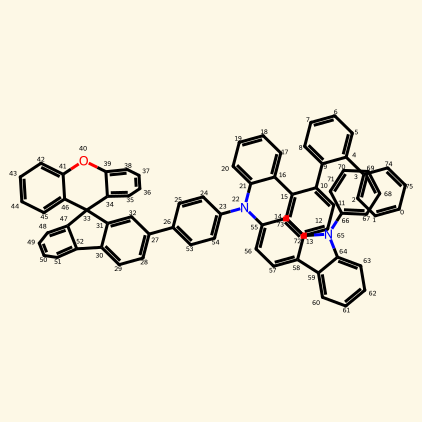 c1ccc(-c2ccccc2-c2ccccc2-c2ccccc2N(c2ccc(-c3ccc4c(c3)C3(c5ccccc5Oc5ccccc53)c3ccccc3-4)cc2)c2ccc3c4ccccc4n(-c4ccccc4)c3c2)cc1